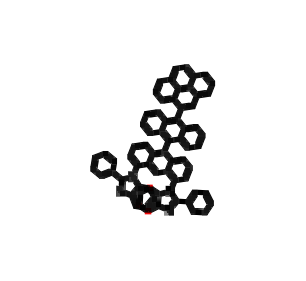 c1ccc(-c2nc3ccccc3n2-c2cccc3c(-c4c5ccccc5c(-c5cc6cccc7ccc8cccc5c8c76)c5ccccc45)c4cccc(-n5c(-c6ccccc6)nc6ccccc65)c4cc23)cc1